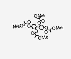 C=C(COC)C(=O)Oc1ccc(-c2ccc(OC(=O)C(=C)COC)cc2OC(=O)C(=C)COC)c(OC(=O)C(=C)COC)c1